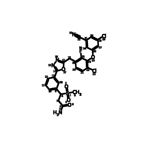 CS(=O)(=O)C(CC(N)=O)c1cccc(-c2nnc(Cc3ccc(Cl)c(Oc4cc(Cl)cc(C#N)c4)c3F)o2)c1